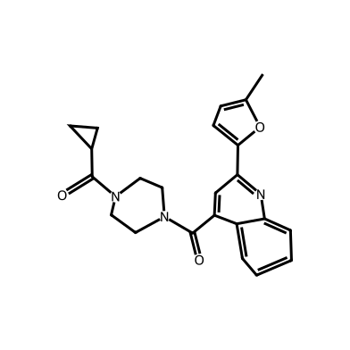 Cc1ccc(-c2cc(C(=O)N3CCN(C(=O)C4CC4)CC3)c3ccccc3n2)o1